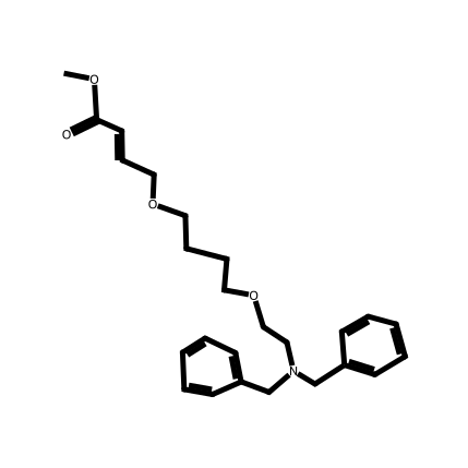 COC(=O)/C=C/COCCCCOCCN(Cc1ccccc1)Cc1ccccc1